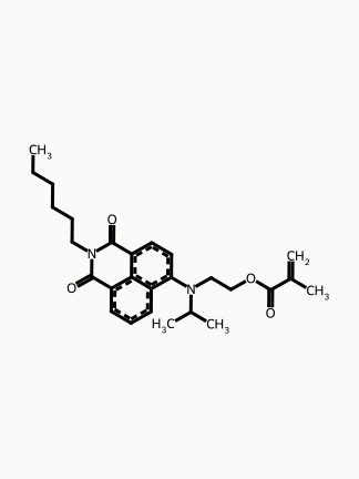 C=C(C)C(=O)OCCN(c1ccc2c3c(cccc13)C(=O)N(CCCCCC)C2=O)C(C)C